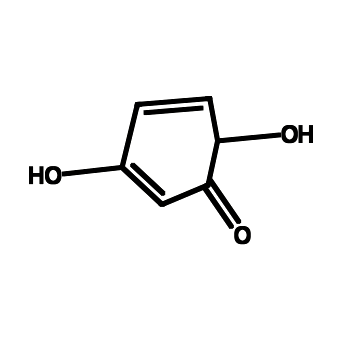 O=C1C=C(O)C=CC1O